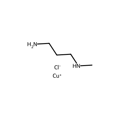 CNCCCN.[Cl-].[Cu+]